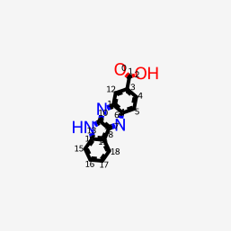 O=C(O)c1ccc2nc3c(nc2c1)[nH]c1ccccc13